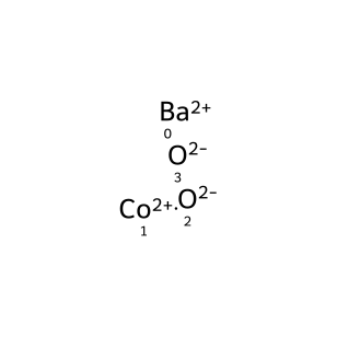 [Ba+2].[Co+2].[O-2].[O-2]